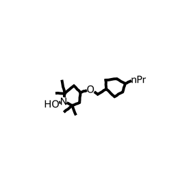 CCCC1CCC(COC2CC(C)(C)N(O)C(C)(C)C2)CC1